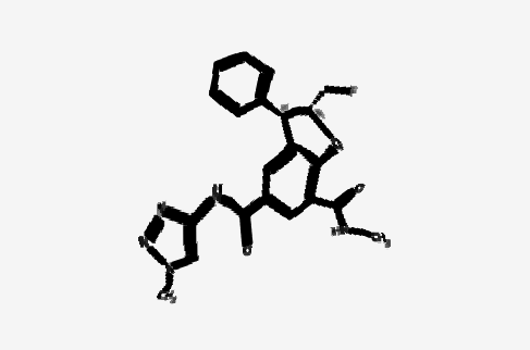 CNC(=O)c1cc(C(=O)Nc2cn(C)nn2)cc2c1O[C@@H](CF)[C@@H]2c1ccccc1